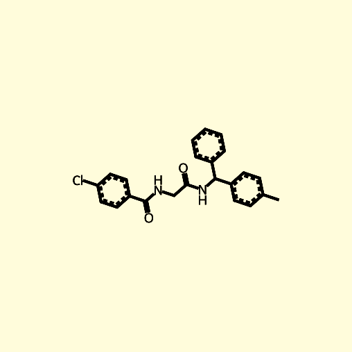 Cc1ccc(C(NC(=O)CNC(=O)c2ccc(Cl)cc2)c2ccccc2)cc1